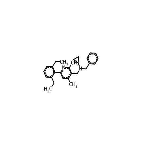 CCc1cccc(CC)c1-c1cc(C)c(CN(Cc2ccccc2)C2CC2)c(C)n1